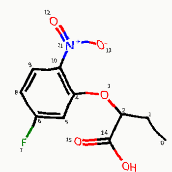 CCC(Oc1cc(F)ccc1[N+](=O)[O-])C(=O)O